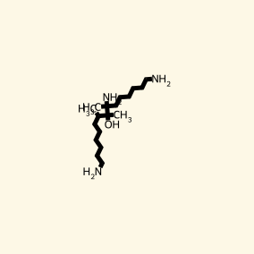 CC(CCCCCCN)C(C)(O)C(C)(N)CCCCCCN